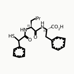 CC(C)C[C@H](NC(=O)C(S)c1ccccc1)C(=O)N[C@@H](Cc1ccccc1)C(=O)O